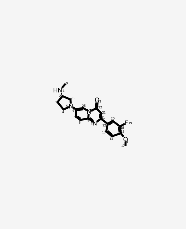 CN[C@H]1CCN(c2ccc3nc(-c4ccc(OC)c(F)c4)cc(=O)n3c2)C1